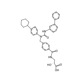 O=C(NC[C@@H](O)C(=O)O)c1ccc(CN(C(=O)Nc2cccc(-c3ccccc3)c2)c2ccc(C3CCCCC3)cc2)cc1